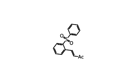 CC(=O)C=Cc1ccccc1S(=O)(=O)c1ccccc1